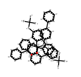 FC(F)(F)Sc1ccc2c(c1)C1(c3cc(SC(F)(F)F)ccc3-2)c2ccccc2-c2cccc(-c3ccccc3N(c3ccc(-c4ccccc4)cc3)c3ccc(-c4ccccc4)cc3)c21